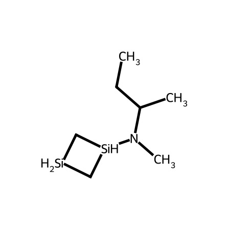 CCC(C)N(C)[SiH]1C[SiH2]C1